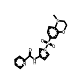 CN1CCOc2cc(S(=O)(=O)n3ccc(NC(=O)c4ccccn4)c3)ccc21